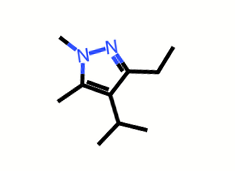 CCc1nn(C)c(C)c1C(C)C